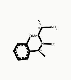 CCN(C[C@H](C)N)[C@@H](C)c1ccccc1OC